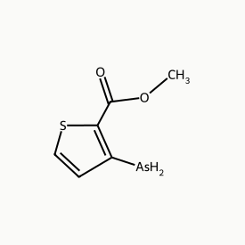 COC(=O)c1sccc1[AsH2]